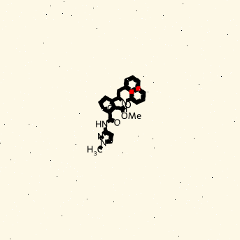 COC(=O)C1=C(C(=O)Nc2ccn(C)n2)C2C=CC1(C(Cc1ccccc1)Nc1ccccc1)O2